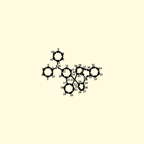 c1ccc(N(c2ccccc2)c2ccc3c(c2)-c2ccccc2C32c3ccccc3-n3c4ccccc4c4cccc2c43)cc1